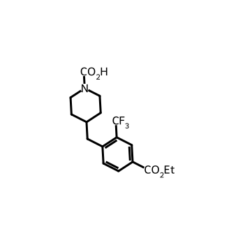 CCOC(=O)c1ccc(CC2CCN(C(=O)O)CC2)c(C(F)(F)F)c1